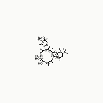 CC[C@H]1OC(=O)[C@H](C)[C@@H](O[C@H]2CC(C)(OC)[C@@H](O)C(C)O2)[C@H](C)[C@@H](O[C@@H]2O[C@H](C)CC(N(C)C)C2O)[C@](C)(O)C[C@@H](C)C(=O)[C@H](C)[C@@H](O)[C@]1(C)O